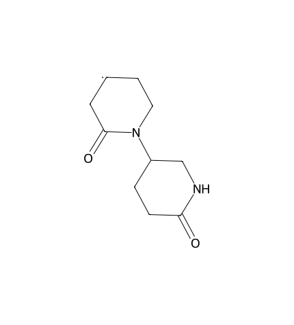 O=C1CCC(N2CC[CH]CC2=O)CN1